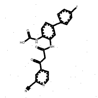 N#Cc1cc(C(=O)CC(=O)Nc2cc(-c3ccc(F)cc3)ccc2NC(=O)O)ccn1